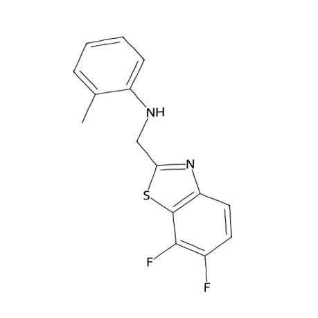 Cc1ccccc1NCc1nc2ccc(F)c(F)c2s1